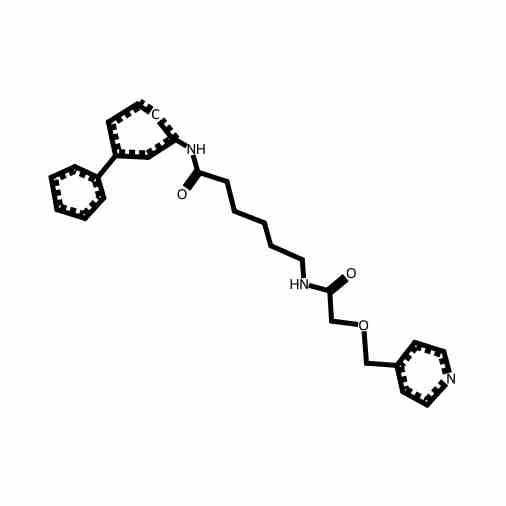 O=C(COCc1ccncc1)NCCCCCC(=O)Nc1cccc(-c2ccccc2)c1